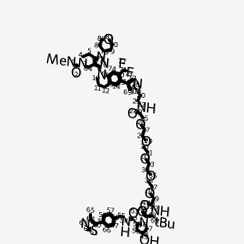 CNC(=O)N1CCc2c(c(N3CCCc4cc(-c5cnn(CCNC(=O)COCCOCCOCCOCCOCC(=O)N[C@H](C(=O)N6C[C@H](O)C[C@H]6C(=O)NCc6ccc(-c7scnc7C)cc6)C(C)(C)C)c5)c(C(F)F)cc43)nn2C2CCOCC2)C1